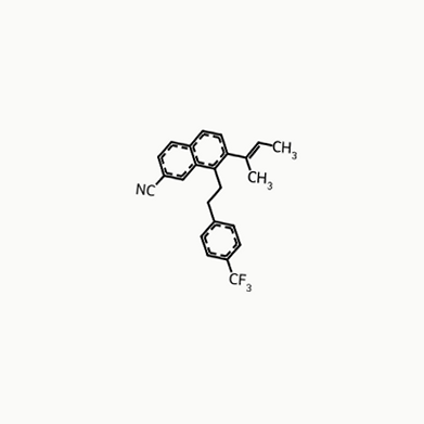 C/C=C(\C)c1ccc2ccc(C#N)cc2c1CCc1ccc(C(F)(F)F)cc1